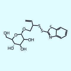 C=CC(CO[C@@H]1OC(CO)[C@@H](O)[C@H](O)C1O)SSc1nc2ccccc2s1